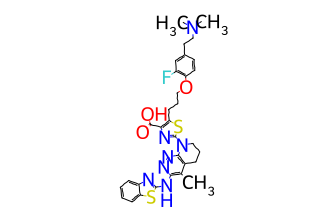 Cc1c(Nc2nc3ccccc3s2)nnc2c1CCCN2c1nc(C(=O)O)c(CCCOc2ccc(CCN(C)C)cc2F)s1